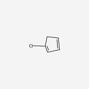 ClC1=CC=CC1